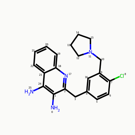 Nc1c(Cc2ccc(Cl)c(CN3CCCC3)c2)nc2ccccc2c1N